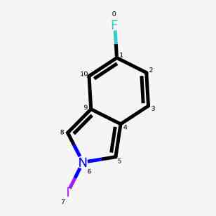 Fc1ccc2cn(I)cc2c1